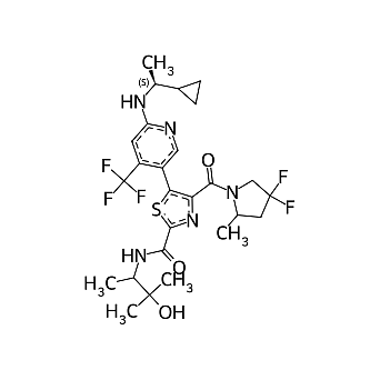 CC1CC(F)(F)CN1C(=O)c1nc(C(=O)NC(C)C(C)(C)O)sc1-c1cnc(N[C@@H](C)C2CC2)cc1C(F)(F)F